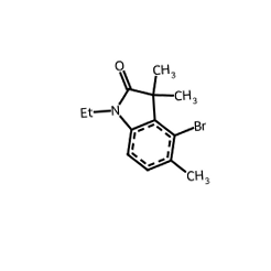 CCN1C(=O)C(C)(C)c2c1ccc(C)c2Br